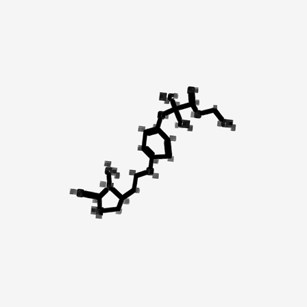 CCOC(=O)C(C)(C)Oc1ccc(OCCC2CNC(=O)N2C)cc1